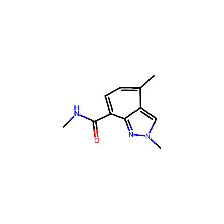 CNC(=O)c1ccc(C)c2cn(C)nc12